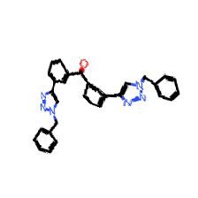 O=C(c1cccc(-c2cn(Cc3ccccc3)nn2)c1)c1cccc(-c2cn(Cc3ccccc3)nn2)c1